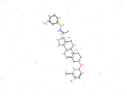 CC[C@H]1OC(OC2CC[C@@]3(C)C(=CCC4C3CC[C@@]3(C)C4CC[C@@H]3/C(C)=N/Oc3cccc(Cl)c3)C2)C=C[C@@H]1C